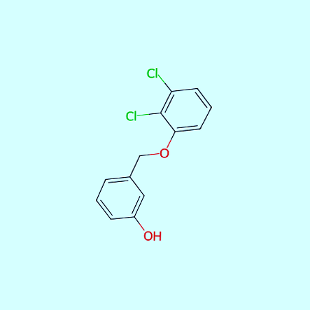 Oc1cccc(COc2cccc(Cl)c2Cl)c1